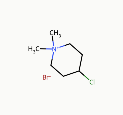 C[N+]1(C)CCC(Cl)CC1.[Br-]